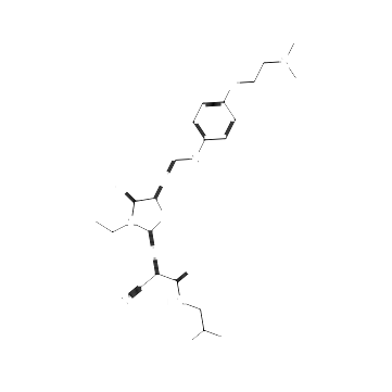 CCn1c(=C=C(C#N)C(=O)NCC(F)F)sc(=C=CNc2ccc(OCCN(C)C)cc2)c1=O